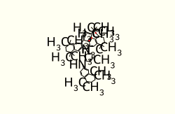 Cc1cc(Nc2ccc3c(c2)C(C)(C)CCC3(C)C)cc(N(c2ccc3c(c2)C(C)(C)CCC3(C)C)c2cc3c(cc2-c2ccc(C(C)(C)C)cc2)C(C)(C)CCC3(C)C)c1